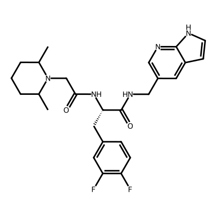 CC1CCCC(C)N1CC(=O)N[C@@H](Cc1ccc(F)c(F)c1)C(=O)NCc1cnc2[nH]ccc2c1